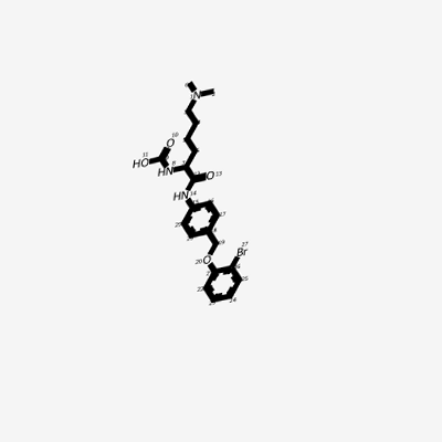 CN(C)CCCCC(NC(=O)O)C(=O)Nc1ccc(COc2ccccc2Br)cc1